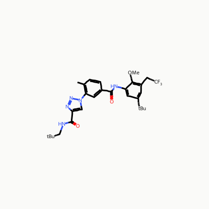 COc1c(CC(F)(F)F)cc(C(C)(C)C)cc1NC(=O)c1ccc(C)c(-n2cc(C(=O)NCC(C)(C)C)nn2)c1